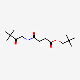 CC(C)(C)COC(=O)CCC(=O)NCC(=O)C(C)(C)C